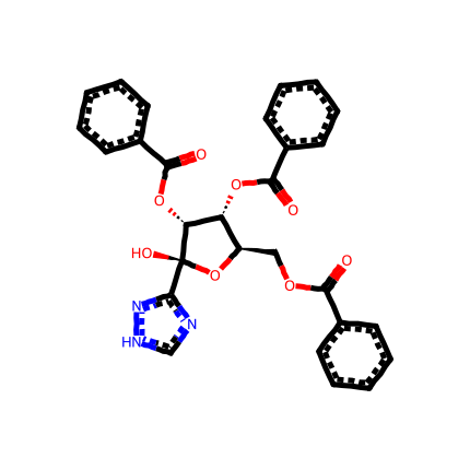 O=C(OC[C@H]1O[C@](O)(c2nc[nH]n2)[C@H](OC(=O)c2ccccc2)[C@@H]1OC(=O)c1ccccc1)c1ccccc1